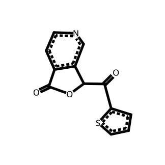 O=C1OC(C(=O)c2cccs2)c2cnccc21